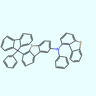 c1ccc(N(c2ccc3sc4c(C5(c6ccccc6)c6ccccc6-c6ccccc65)cccc4c3c2)c2cccc3sc4ccccc4c23)cc1